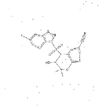 CC1(C)Oc2ccc(C#N)cc2C(S(=O)(=O)c2noc3cc(Cl)ccc23)C1O